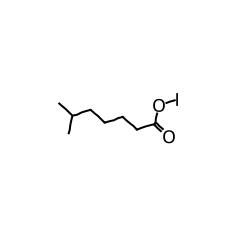 CC(C)CCCCC(=O)OI